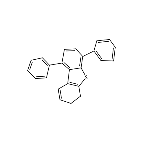 C1=Cc2c(sc3c(-c4ccccc4)ccc(-c4ccccc4)c23)CC1